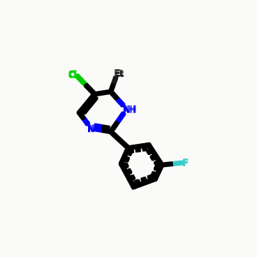 CCC1NC(c2cccc(F)c2)=NC=C1Cl